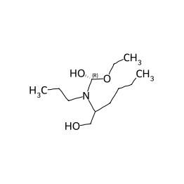 CCCCC(CO)N(CCC)[C@H](O)OCC